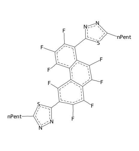 CCCCCc1nnc(-c2c(F)c(F)c3c(F)c(F)c4c(-c5nnc(CCCCC)s5)c(F)c(F)c(F)c4c3c2F)s1